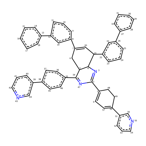 C1=C(C2=NC3C(CC(c4cccc(-c5ccccc5)c4)=CC3c3cccc(-c4ccccc4)c3)C(c3ccc(-c4cccnc4)cc3)=N2)CCC(c2cccnc2)=C1